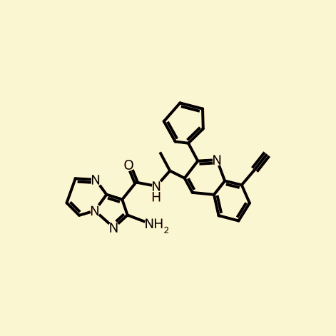 C#Cc1cccc2cc(C(C)NC(=O)c3c(N)nn4cccnc34)c(-c3ccccc3)nc12